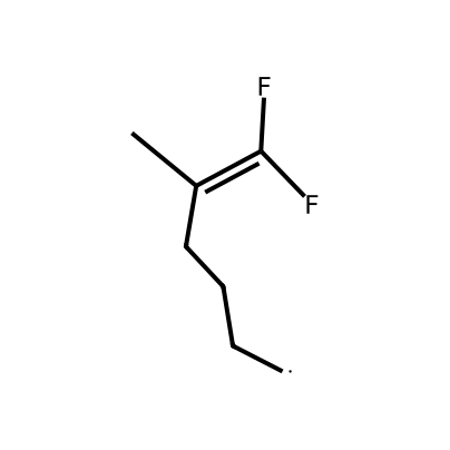 [CH2]CCCC(C)=C(F)F